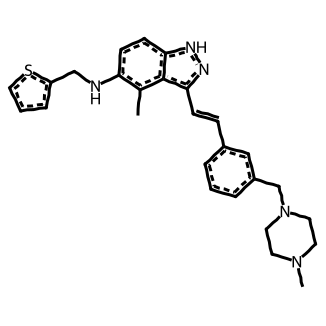 Cc1c(NCc2cccs2)ccc2[nH]nc(/C=C/c3cccc(CN4CCN(C)CC4)c3)c12